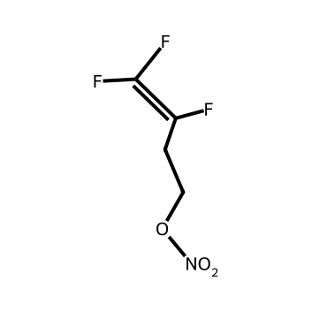 O=[N+]([O-])OCCC(F)=C(F)F